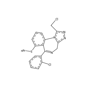 CCCSc1cccc2c1C(c1ccccc1Cl)=NCc1nnc(CCl)n1-2